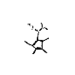 CC1=C(C)C(C)[C]([V]([NH]C(C)(C)C)[SiH](C)C)=C1C